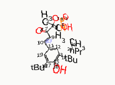 CC(C)(O[PH](=O)O)C(=O)/C=C/c1cc(C(C)(C)C)c(O)c(C(C)(C)C)c1.CCCC